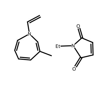 C=CN1C=CC=CC(C)=C1.CCN1C(=O)C=CC1=O